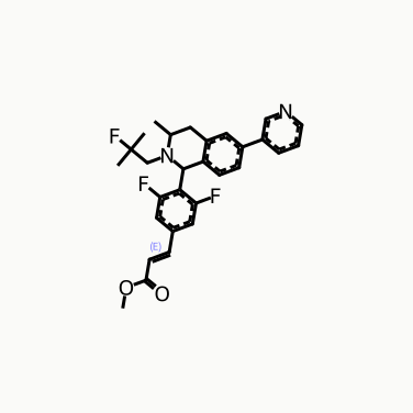 COC(=O)/C=C/c1cc(F)c(C2c3ccc(-c4cccnc4)cc3CC(C)N2CC(C)(C)F)c(F)c1